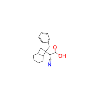 N#CC(C(=O)O)C1(Cc2ccccc2)CC2CCCCC21